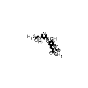 CC(C)CNc1cncc(COc2cc(/C=C3\SC(=O)N(C)C3=O)c(Br)cc2O)c1